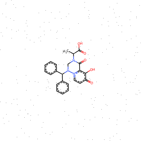 CC(C(=O)O)N1CN(C(c2ccccc2)c2ccccc2)n2ccc(=O)c(O)c2C1=O